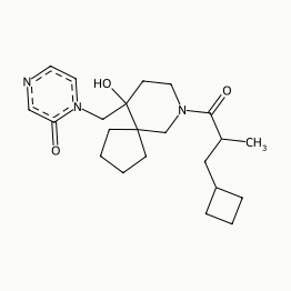 CC(CC1CCC1)C(=O)N1CCC(O)(Cn2ccncc2=O)C2(CCCC2)C1